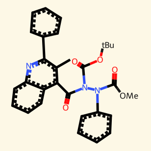 COC(=O)N(c1ccccc1)N(C(=O)OC(C)(C)C)C(=O)c1c(C)c(-c2ccccc2)nc2ccccc12